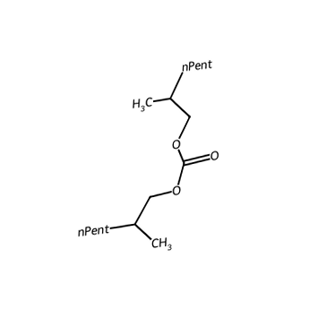 CCCCCC(C)COC(=O)OCC(C)CCCCC